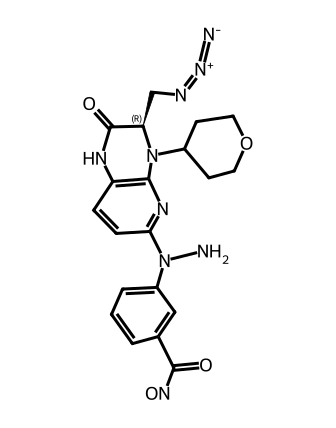 [N-]=[N+]=NC[C@@H]1C(=O)Nc2ccc(N(N)c3cccc(C(=O)N=O)c3)nc2N1C1CCOCC1